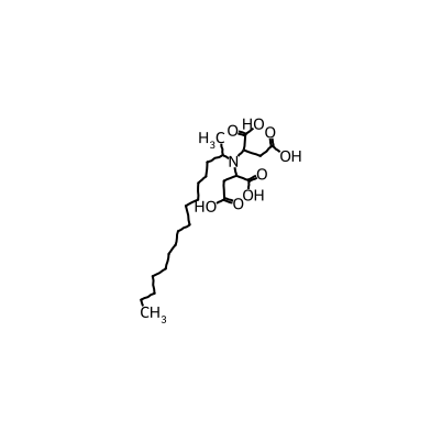 CCCCCCCCCCCCCCC(C)N(C(CC(=O)O)C(=O)O)C(CC(=O)O)C(=O)O